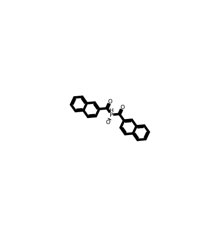 O=C(c1ccc2ccccc2c1)[PH](=O)C(=O)c1ccc2ccccc2c1